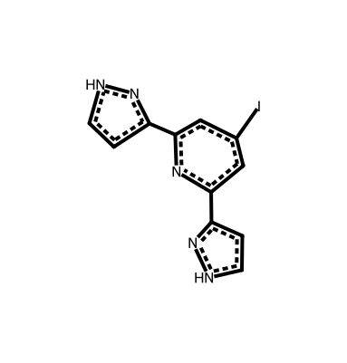 Ic1cc(-c2cc[nH]n2)nc(-c2cc[nH]n2)c1